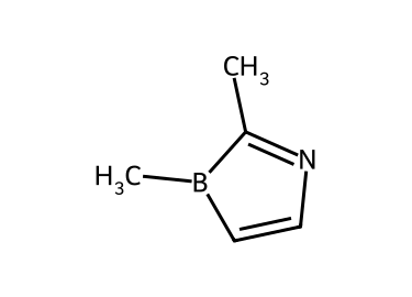 CB1C=CN=C1C